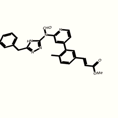 COC(=O)C=Cc1ccc(C)c(-c2ccnc(N(C=O)c3nnc(Cc4ccccc4)[nH]3)c2)c1